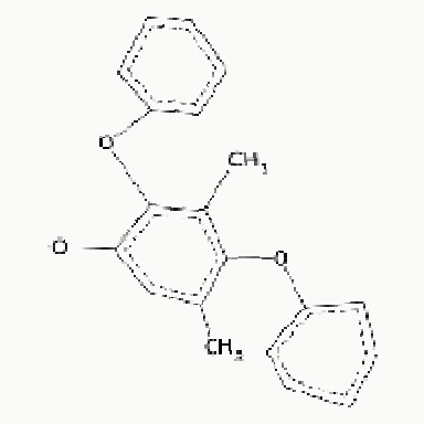 Cc1cc([O])c(Oc2ccccc2)c(C)c1Oc1ccccc1